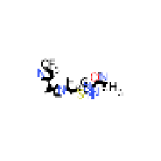 Cc1ncoc1-c1nnc(SCCCN2CC[C@]3(C[C@@H]3c3ccc(C(F)(F)F)nc3)C2)n1C